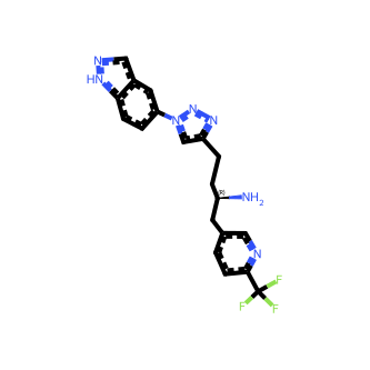 N[C@H](CCc1cn(-c2ccc3[nH]ncc3c2)nn1)Cc1ccc(C(F)(F)F)nc1